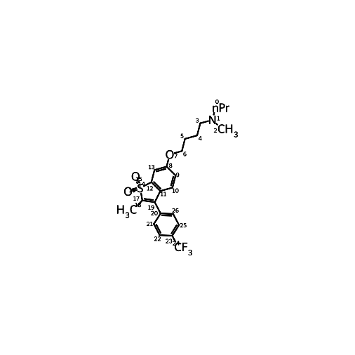 CCCN(C)CCCCOc1ccc2c(c1)S(=O)(=O)C(C)=C2c1ccc(C(F)(F)F)cc1